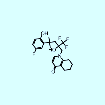 CC(C)(CC(O)(Cn1ccc(=O)c2c1CCCC2)C(F)(F)F)c1cc(F)ccc1O